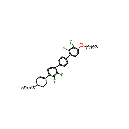 CCCCCCOc1ccc(-c2ccc(-c3ccc(C4=CCC(CCCCC)CC4)c(F)c3F)cc2)c(F)c1F